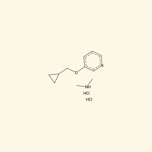 CNC.Cl.Cl.c1cncc(OCC2CC2)c1